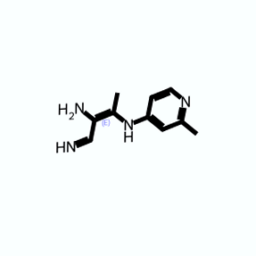 C/C(Nc1ccnc(C)c1)=C(\N)C=N